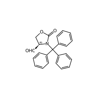 O=C[C@H]1COC(=O)N1C(c1ccccc1)(c1ccccc1)c1ccccc1